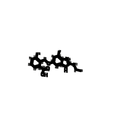 CCSc1nc2c(C)cc(OCc3c(C)cccc3C(=O)O)cc2[nH]1